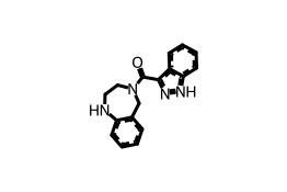 O=C(c1n[nH]c2ccccc12)N1CCNc2ccccc2C1